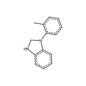 Cc1ccccc1N1CNc2ccccc21